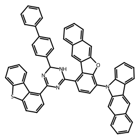 c1ccc(-c2ccc(C3N=C(c4cccc5sc6ccccc6c45)N=C(c4ccc(-n5c6ccccc6c6cc7ccccc7cc65)c5oc6cc7ccccc7cc6c45)N3)cc2)cc1